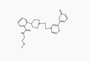 COCCNC(=O)c1ccccc1C1CCN(CCN2C=COC(C3=CC=CC(=O)C3)=C2)CC1